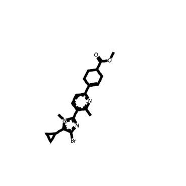 COC(=O)C1CC=C(c2ccc(-c3nc(Br)c(C4CC4)n3C)c(C)n2)CC1